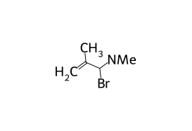 C=C(C)C(Br)NC